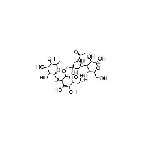 CC(=O)NCC(CO)(COC1OC(CO)C(O)C(O)C1OC1OC(C)C(O)C(O)C1O)COC1C(O)C(CO)O[C@@H](O)C1O